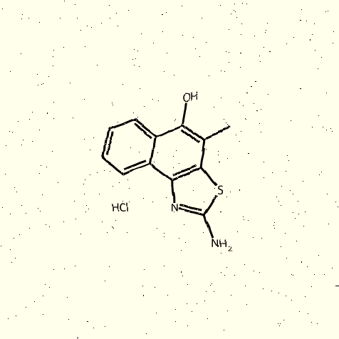 Cc1c(O)c2ccccc2c2nc(N)sc12.Cl